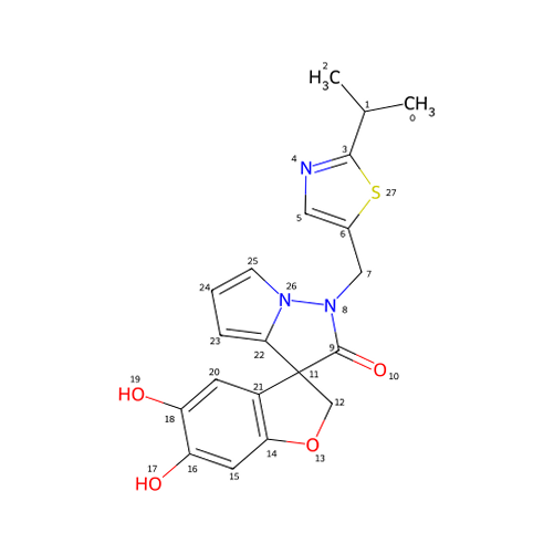 CC(C)c1ncc(CN2C(=O)C3(COc4cc(O)c(O)cc43)c3cccn32)s1